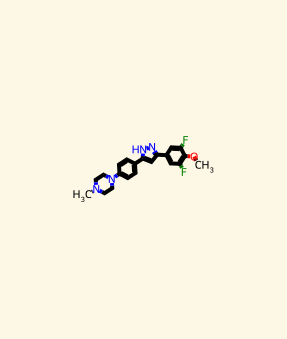 COc1c(F)cc(-c2cc(-c3ccc(N4CCN(C)CC4)cc3)[nH]n2)cc1F